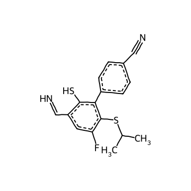 CC(C)Sc1c(F)cc(C=N)c(S)c1-c1ccc(C#N)cc1